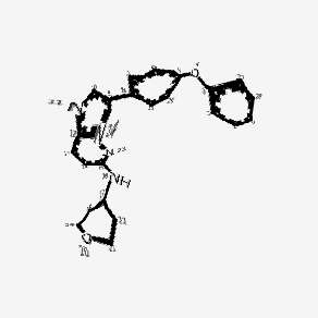 c1ccc(Oc2ccc(-c3cnc4ccc(NC5CCOCC5)nn34)cc2)cc1